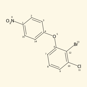 O=[N+]([O-])c1ccc(Oc2cccc(Cl)c2Br)cc1